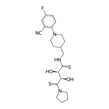 N#Cc1cc(F)ccc1N1CCC(CNC(=S)[C@H](O)[C@@H](O)C(=S)N2CCCC2)CC1